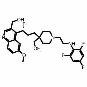 COc1ccc2ncc(CO)c([C@H](F)CCC3(CO)CCN(CCNc4c(F)cc(F)cc4F)CC3)c2c1